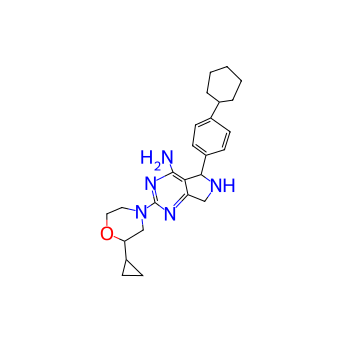 Nc1nc(N2CCOC(C3CC3)C2)nc2c1C(c1ccc(C3CCCCC3)cc1)NC2